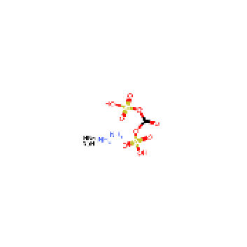 N.N.O=C(OS(=O)(=O)O)OS(=O)(=O)O.[NaH].[NaH]